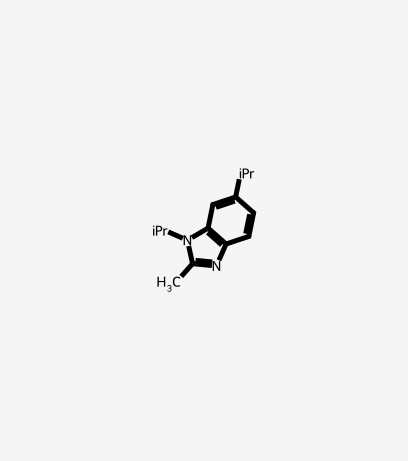 Cc1nc2ccc(C(C)C)cc2n1C(C)C